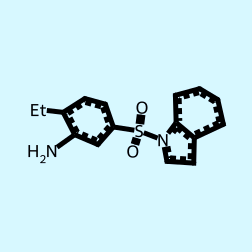 CCc1ccc(S(=O)(=O)n2ccc3ccccc32)cc1N